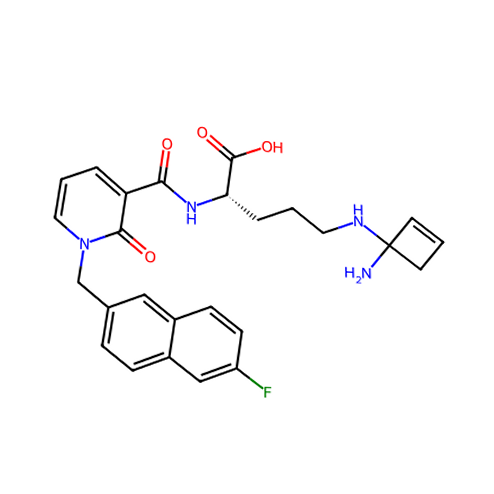 NC1(NCCC[C@H](NC(=O)c2cccn(Cc3ccc4cc(F)ccc4c3)c2=O)C(=O)O)C=CC1